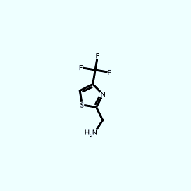 NCc1nc(C(F)(F)F)cs1